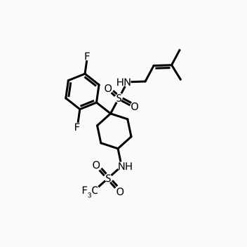 CC(C)=CCNS(=O)(=O)C1(c2cc(F)ccc2F)CCC(NS(=O)(=O)C(F)(F)F)CC1